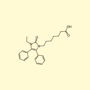 CCn1c(-c2ccccc2)c(-c2ccccc2)n(CCCCCCC(=O)O)c1=O